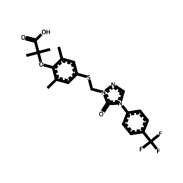 Cc1cc(SCn2ncn(-c3ccc(C(F)(F)F)cc3)c2=O)cc(C)c1OC(C)(C)C(=O)O